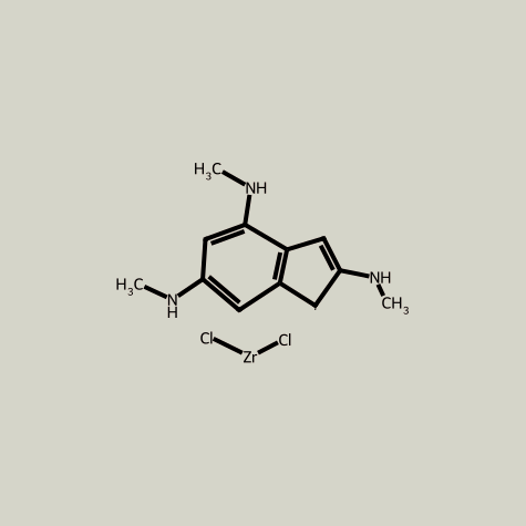 CNC1=Cc2c(cc(NC)cc2NC)[CH]1.[Cl][Zr][Cl]